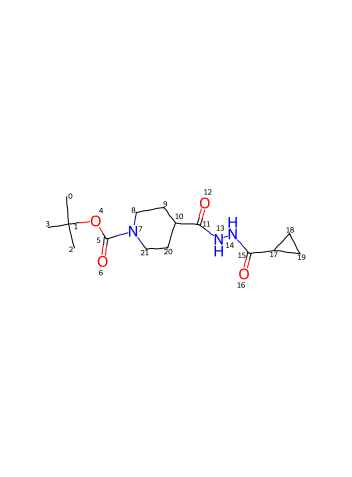 CC(C)(C)OC(=O)N1CCC(C(=O)NNC(=O)C2CC2)CC1